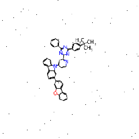 CC(C)(C)c1ccc(-c2nc(-c3ccccc3)nc(-c3cc(-n4c5ccccc5c5ccc(-c6ccc7c(c6)oc6ccccc67)cc54)ccn3)n2)cc1